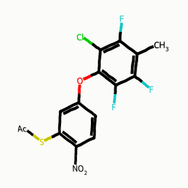 CC(=O)Sc1cc(Oc2c(F)c(F)c(C)c(F)c2Cl)ccc1[N+](=O)[O-]